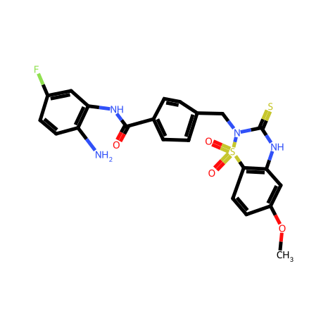 COc1ccc2c(c1)NC(=S)N(Cc1ccc(C(=O)Nc3cc(F)ccc3N)cc1)S2(=O)=O